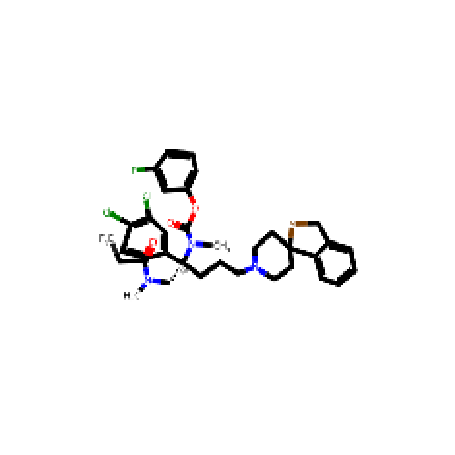 CN(C[C@](CCCN1CCC2(CC1)SCc1ccccc12)(c1ccc(Cl)c(Cl)c1)N(C)C(=O)Oc1cccc(F)c1)C(=O)CC(F)(F)F